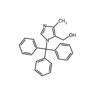 Cc1ncn(C(c2ccccc2)(c2ccccc2)c2ccccc2)c1CO